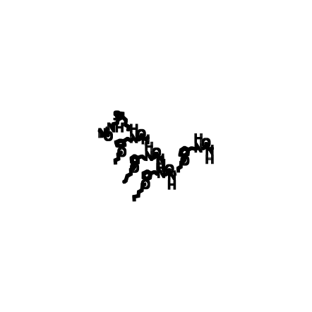 CCCCCCOc1cccc(CCNCC(=O)NC)c1.CCCCCOc1cccc(CCNCC(=O)NC)c1.CCCCOc1cccc(CCNCC(=O)N(C)C)c1.CCCCOc1cccc(CCNCC(=O)NC)c1.CCCCc1ccsc1CCNCC(=O)N(C)C